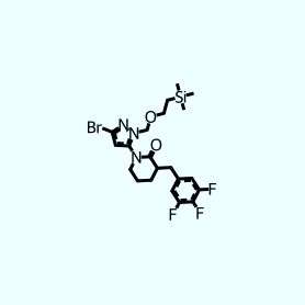 C[Si](C)(C)CCOCn1nc(Br)cc1N1CCCC(Cc2cc(F)c(F)c(F)c2)C1=O